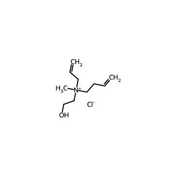 C=CCC[N+](C)(CC=C)CCO.[Cl-]